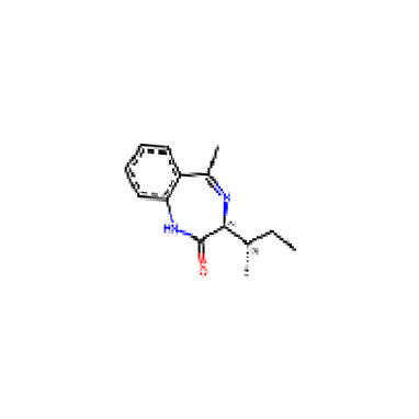 CC[C@H](C)[C@@H]1N=C(C)c2ccccc2NC1=O